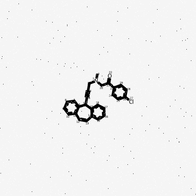 CN(CC#CC1c2ccccc2C=Cc2ccccc21)CC(=O)c1ccc(Cl)cc1